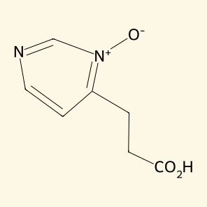 O=C(O)CCc1ccnc[n+]1[O-]